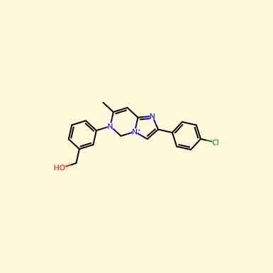 CC1=CC2=NC(c3ccc(Cl)cc3)=C[N+]2CN1c1cccc(CO)c1